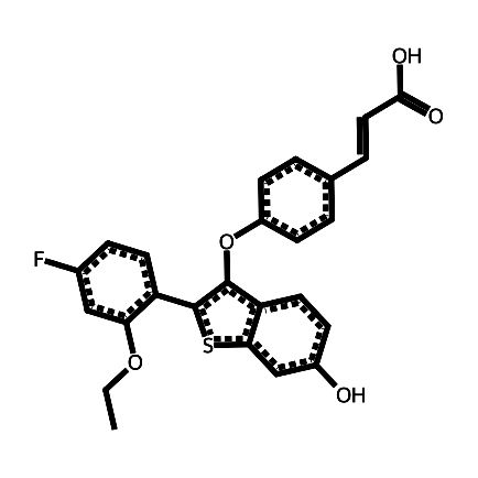 CCOc1cc(F)ccc1-c1sc2cc(O)ccc2c1Oc1ccc(C=CC(=O)O)cc1